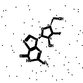 Nc1nc2c(ncn2[C@@H]2O[C@H](CO)C(F)[C@H]2O)c(=O)[nH]1